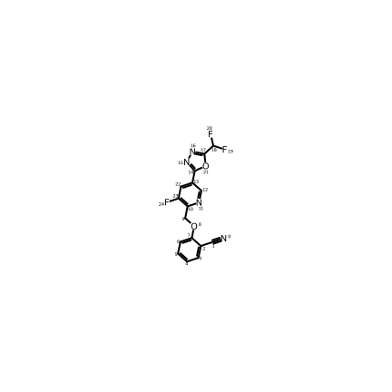 N#Cc1ccccc1OCc1ncc(-c2nnc(C(F)F)o2)cc1F